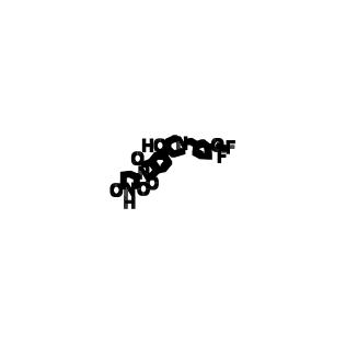 O=C1CCC(N2C(=O)c3ccc(C4(O)CCN(Cc5cccc(OC(F)F)c5)CC4)cc3C2=O)C(=O)N1